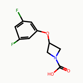 O=C(O)N1CC(Oc2cc(F)cc(F)c2)C1